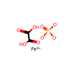 O=C(O)C(=O)O.O=P([O-])([O-])[O-].[Fe+3]